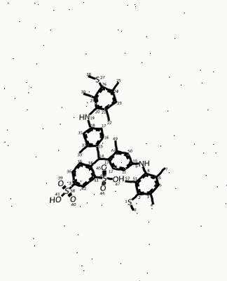 CSc1c(C)cc(C)c(Nc2ccc(C(c3ccc(Nc4c(C)cc(C)c(SC)c4C)cc3C)c3ccc(S(=O)(=O)O)cc3S(=O)(=O)O)c(C)c2)c1C